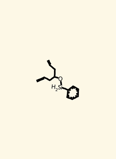 C=CCC(CC=C)O[SiH2]c1ccccc1